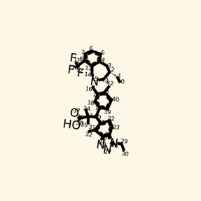 CC[C@H]1Cc2cccc(C(F)(F)F)c2CN(Cc2cc(C(c3ccc4c(nnn4CC)c3C)C(C)(C)C(=O)O)ccc2C)C1